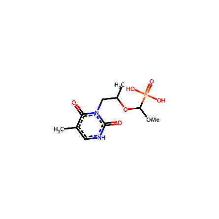 COC(OC(C)Cn1c(=O)[nH]cc(C)c1=O)P(=O)(O)O